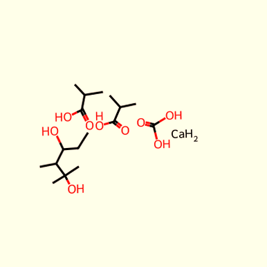 CC(C)C(=O)O.CC(C)C(=O)O.CCC(O)C(C)C(C)(C)O.O=C(O)O.[CaH2]